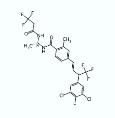 Cc1cc(C=CC(c2cc(Cl)c(F)c(Cl)c2)C(F)(F)F)ccc1C(=O)N[C@H](C)NC(=O)CC(F)(F)F